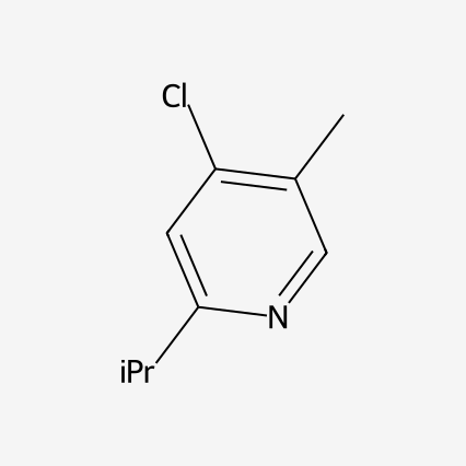 Cc1cnc(C(C)C)cc1Cl